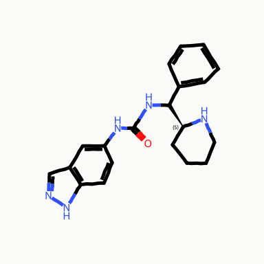 O=C(Nc1ccc2[nH]ncc2c1)NC(c1ccccc1)[C@@H]1CCCCN1